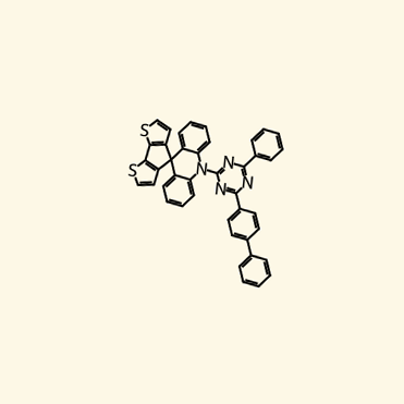 c1ccc(-c2ccc(-c3nc(-c4ccccc4)nc(N4c5ccccc5C5(c6ccccc64)c4ccsc4-c4sccc45)n3)cc2)cc1